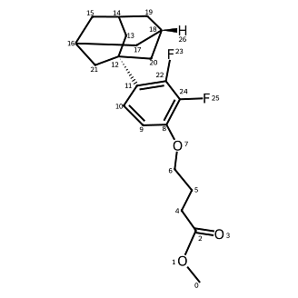 COC(=O)CCCOc1ccc([C@]23CC4CC(C[C@H](C4)C2)C3)c(F)c1F